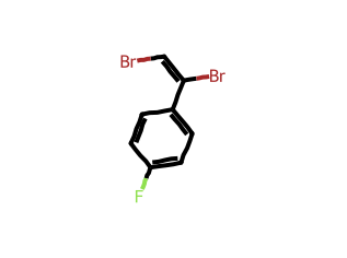 Fc1ccc(/C(Br)=C\Br)cc1